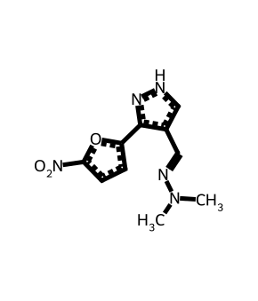 CN(C)N=Cc1c[nH]nc1-c1ccc([N+](=O)[O-])o1